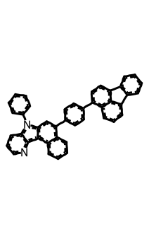 c1ccc(-n2c3cccnc3c3c4ccccc4c(-c4ccc(-c5ccc6c7c(cccc57)-c5ccccc5-6)cc4)cc32)cc1